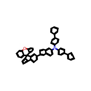 c1ccc(-c2ccc(N(c3ccc(-c4ccccc4)cc3)c3ccc4cc(-c5ccc6c(c5)C5(c7ccccc7Oc7ccccc75)c5ccccc5-6)ccc4c3)cc2)cc1